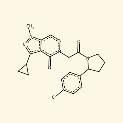 Cn1nc(C2CC2)c2c(=O)n(CC(=O)N3CCCC3c3ccc(Cl)cc3)ncc21